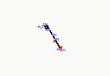 CC(C)c1ccc(CNCCCCNCCCNC(=O)CCCCCCC(=O)NO)cc1